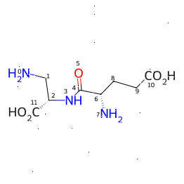 NC[C@H](NC(=O)[C@@H](N)CCC(=O)O)C(=O)O